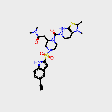 C#Cc1ccc2[nH]c(S(=O)(=O)N3CCN(C(=O)N4CCC5=C(N4)SC(C)N5C)C(CC(=O)N(C)C)C3)cc2c1